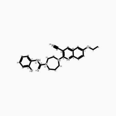 CCOc1ccc2nc(N3CCCN(C(=S)Nc4ccccc4F)CC3)c(C#N)cc2c1